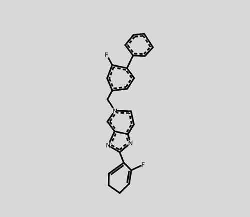 FC1=CCCC=C1c1nc2ccn(Cc3ccc(-c4ccccc4)c(F)c3)cc-2n1